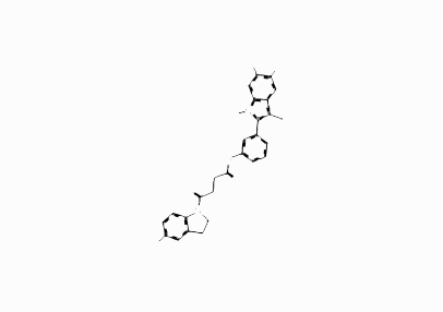 Cc1ccc2c(c1)CCN2C(=O)CCC(=O)Nc1cccc(-c2c(I)c3cc(C(=O)O)c(O)cc3n2C)c1